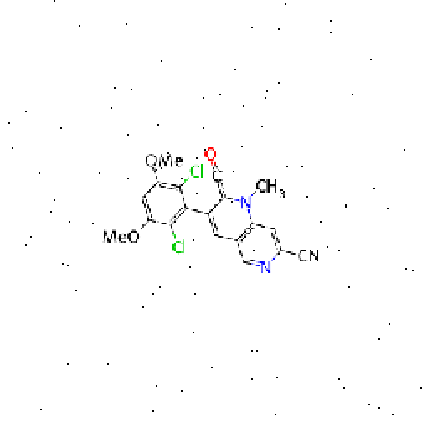 COc1cc(OC)c(Cl)c(C2=Cc3cnc(C#N)cc3N(C)C2=C=O)c1Cl